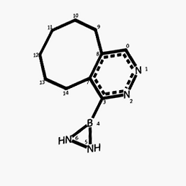 c1nnc(B2NN2)c2c1CCCCCC2